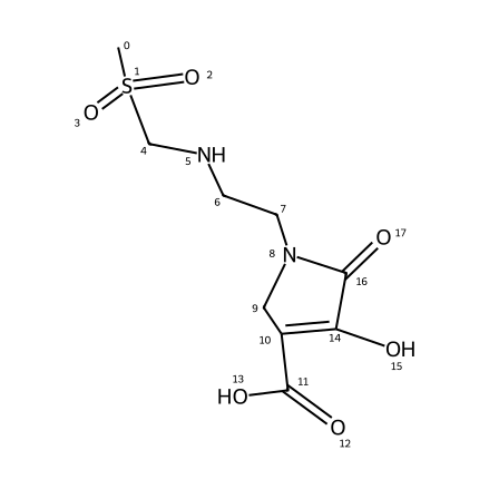 CS(=O)(=O)CNCCN1CC(C(=O)O)=C(O)C1=O